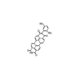 CC(C)(C)c1ccc(C(C)(C)C)c(N2C(=O)c3ccc4c5ccc6c7c(ccc(c8ccc(c3c48)C2=O)c75)C(=O)NC6=O)c1